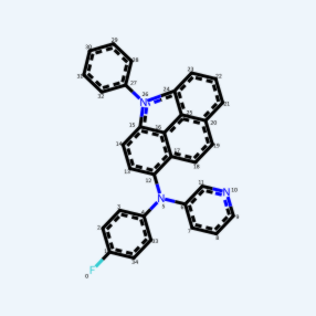 Fc1ccc(N(c2cccnc2)c2ccc3c4c2ccc2cccc(c24)n3-c2ccccc2)cc1